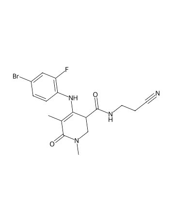 CC1=C(Nc2ccc(Br)cc2F)C(C(=O)NCCC#N)CN(C)C1=O